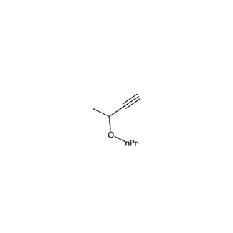 C#CC(C)O[CH]CC